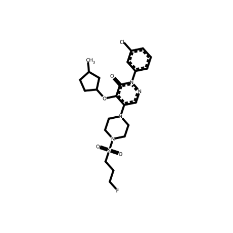 CC1CCC(Oc2c(N3CCN(S(=O)(=O)CCCF)CC3)cnn(-c3cccc(Cl)c3)c2=O)C1